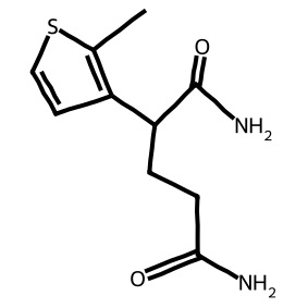 Cc1sccc1C(CCC(N)=O)C(N)=O